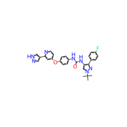 CC(C)(C)n1cc(NC(=O)Nc2ccc(Oc3ccnc(-c4cn[nH]c4)c3)cc2)c(-c2ccc(F)cc2)n1